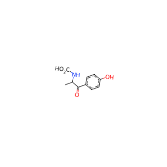 CC(NC(=O)O)C(=O)c1ccc(O)cc1